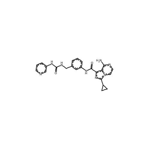 Nc1nccn2c(C3CC3)nc(C(=O)Nc3cccc(CNC(=O)Nc4cccnc4)c3)c12